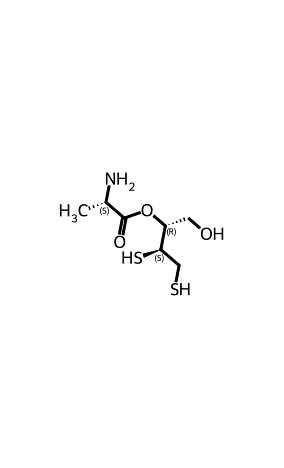 C[C@H](N)C(=O)O[C@H](CO)[C@H](S)CS